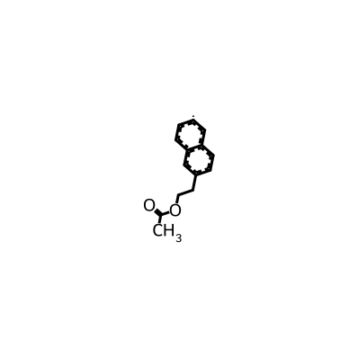 CC(=O)OCCc1ccc2c[c]ccc2c1